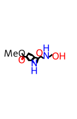 COC(=O)c1ccc2c(C(=O)CNCCO)c[nH]c2c1